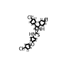 S=C(Nc1ccc(Oc2ccc(Cl)cc2)cc1)N1CC(c2ccc(Cl)cc2)=C(c2ccc(Cl)cc2)N1